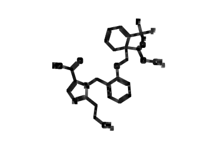 CCCc1ncc(C(=O)O)n1Cc1ccccc1OCC1(C(=O)OC)CC=CC=C1C(F)(F)F